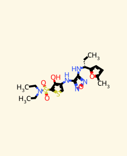 CC[C@@H](Nc1nonc1Nc1csc(S(=O)(=O)N(CC)CC)c1O)c1ccc(C)o1